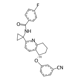 N#Cc1cccc(O[C@H]2CCCc3nc(C4(NC(=O)c5ccc(F)cc5)CC4)ccc32)c1